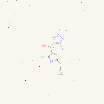 Cn1nc(I)c(C(O)c2cn(CC3CC3)nc2Cl)n1